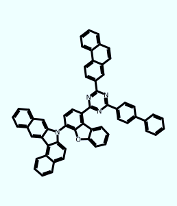 c1ccc(-c2ccc(-c3nc(-c4ccc5c(ccc6ccccc65)c4)nc(-c4ccc(-n5c6cc7ccccc7cc6c6c7ccccc7ccc65)c5oc6ccccc6c45)n3)cc2)cc1